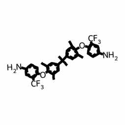 Cc1cc(C(C)(C)c2cc(C)c(Oc3ccc(N)cc3C(F)(F)F)c(C)c2)cc(C)c1Oc1ccc(N)cc1C(F)(F)F